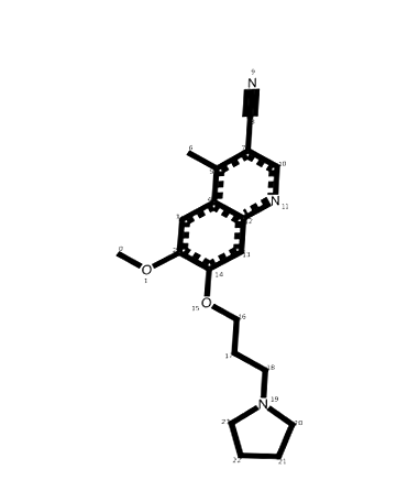 COc1cc2c(C)c(C#N)cnc2cc1OCCCN1CCCC1